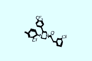 Cc1ccc(N2CCN(C(=O)Cc3cccc(Cl)c3)CC2c2ccc(C(F)(F)F)cc2)c(Cl)c1